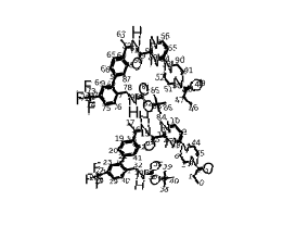 CCC(=O)N1CCN(c2ccnc(C(=O)N[C@H](C)c3ccc(-c4cc(C(F)(F)F)ccc4CNC(=O)OC(C)(C)C)cc3)n2)CC1.CCC(=O)N1CCN(c2ccnc(C(=O)N[C@H](C)c3ccc(-c4cc(C(F)(F)F)ccc4CNC(=O)OC(C)(C)C)cc3)n2)CC1